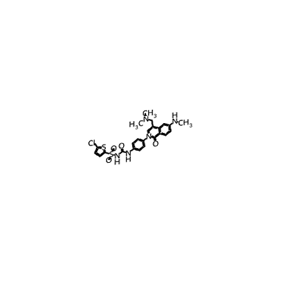 CNc1ccc2c(=O)n(-c3ccc(NC(=O)NS(=O)(=O)c4ccc(Cl)s4)cc3)cc(CN(C)C)c2c1